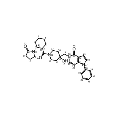 O=C([C@@H]1CCCC[C@H]1N1CCCC1=O)N1CCC(O)(Cn2cnc3c(ccn3-c3ccccc3)c2=O)CC1